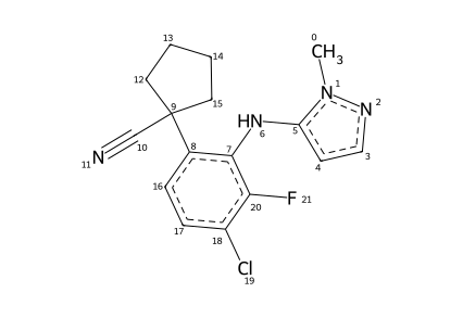 Cn1nccc1Nc1c(C2(C#N)CCCC2)ccc(Cl)c1F